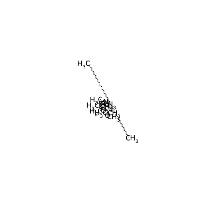 CCCCCCCCCCCCCCCCCCCCC(CCCCCCCCCCCCCCCCCCCC)N(C)CC(C)(C)CC(C)(C)CC(C)(C)OCCC(C)(C)OC